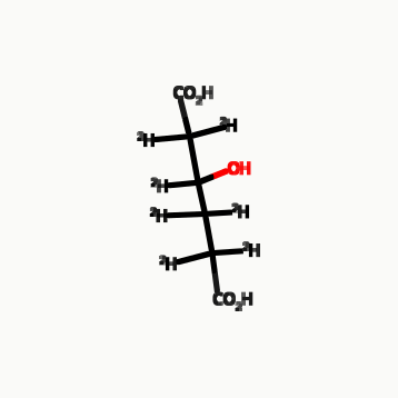 [2H]C([2H])(C(=O)O)C([2H])([2H])C([2H])(O)C([2H])([2H])C(=O)O